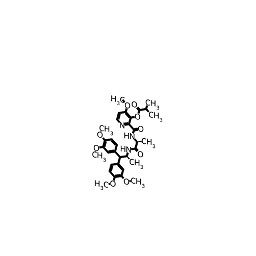 COc1ccc(C(c2ccc(OC)c(OC)c2)[C@H](C)NC(=O)[C@H](C)NC(=O)c2nccc(OC)c2OC(=O)C(C)C)cc1OC